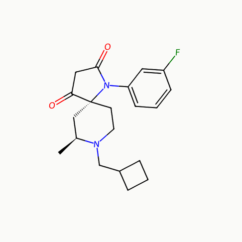 C[C@H]1C[C@]2(CCN1CC1CCC1)C(=O)CC(=O)N2c1cccc(F)c1